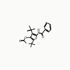 CC(=O)Oc1c(C(C)(C)C)oc(NC(=O)c2ccccc2)c1C(C)(C)C